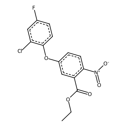 CCOC(=O)c1cc(Oc2ccc(F)cc2Cl)ccc1[N+](=O)[O-]